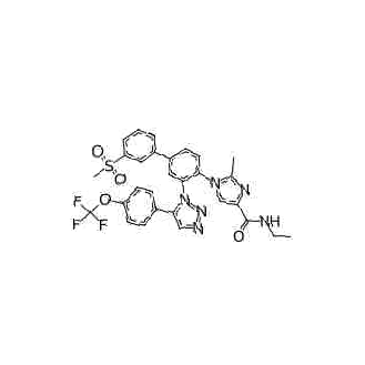 CCNC(=O)c1cn(-c2ccc(-c3cccc(S(C)(=O)=O)c3)cc2-n2nncc2-c2ccc(OC(F)(F)F)cc2)c(C)n1